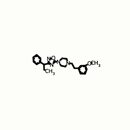 CCC(c1ccccc1)c1noc(N2CCN(CCc3cccc(OC)c3)CC2)n1